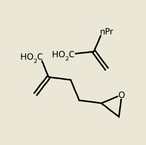 C=C(CCC)C(=O)O.C=C(CCC1CO1)C(=O)O